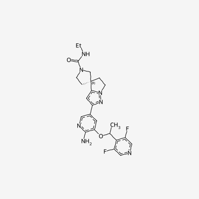 CCNC(=O)N1CC[C@@]2(CCn3nc(-c4cnc(N)c(OC(C)c5c(F)cncc5F)c4)cc32)C1